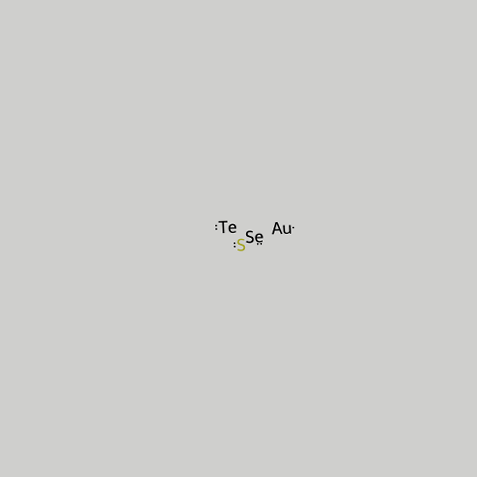 [Au].[S].[Se].[Te]